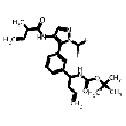 C=CCC(NC(=O)OC(C)(C)C)c1cccc(-c2c(NC(=O)C(C)C=C)cnn2C(F)F)c1